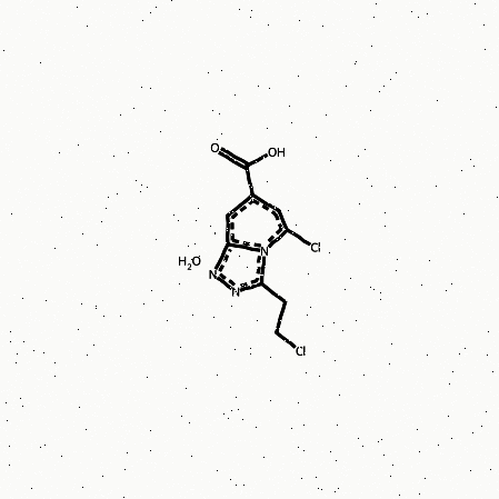 O.O=C(O)c1cc(Cl)n2c(CCCl)nnc2c1